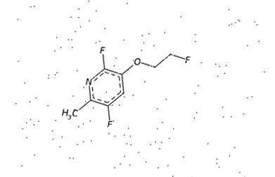 Cc1nc(F)c(OCCF)cc1F